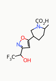 CC1CCC(c2cc(C(O)C(F)(F)F)no2)CN1C(=O)O